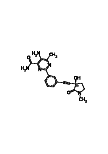 Cc1nc(-c2cccc(C#C[C@]3(O)CCN(C)C3=O)c2)nc(C(N)=O)c1N